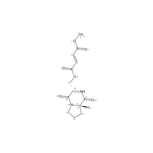 COC(=O)/C=C/C(=O)OC[C@@H]1NC(=O)[C@@H]2CCCN2C1=O